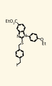 CCOC(=O)c1ccc2c(c1)nc(SCc1ccc(CI)cc1)n2-c1ccc(OCC)cc1